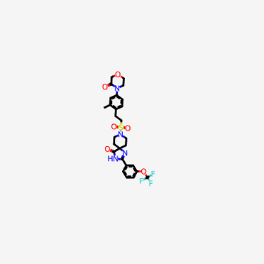 Cc1cc(N2CCOCC2=O)ccc1CCS(=O)(=O)N1CCC2(CC1)N=C(c1cccc(OC(F)(F)F)c1)NC2=O